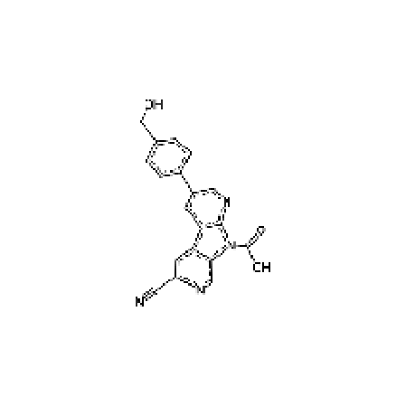 N#Cc1cc2c3cc(-c4ccc(CO)cc4)cnc3n(C(=O)O)c2cn1